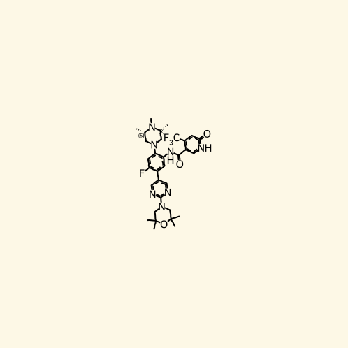 C[C@@H]1CN(c2cc(F)c(-c3cnc(N4CC(C)(C)OC(C)(C)C4)nc3)cc2NC(=O)c2c[nH]c(=O)cc2C(F)(F)F)C[C@H](C)N1C